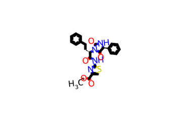 COC(=O)c1csc(NC(=O)[C@H](CCc2ccccc2)N2C(=O)N[C@@H](c3ccccc3)C2=O)n1